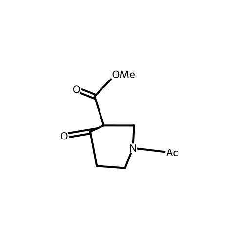 COC(=O)C1CN(C(C)=O)CCC1=O